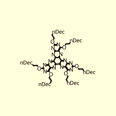 CCCCCCCCCCCCOc1nc(OCCCCCCCCCCCC)c2nc3c(nc2n1)c1nc2nc(OCCCCCCCCCCCC)nc(OCCCCCCCCCCCC)c2nc1c1nc2c(OCCCCCCCCCCCC)nc(OCCCCCCCCCCCC)nc2nc31